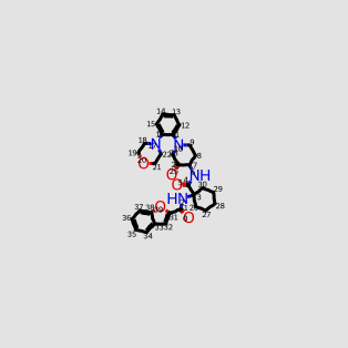 O=C(NC1(C(=O)NC2CCN(c3ccccc3N3CCOCC3)CC2=O)CCCCC1)c1cc2ccccc2o1